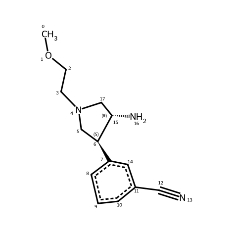 COCCN1C[C@H](c2cccc(C#N)c2)[C@@H](N)C1